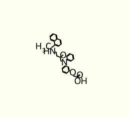 C[C@@H](NCCC1CN(c2cccc(OCC(=O)O)c2)c2ccccc2O1)c1cccc2ccccc12